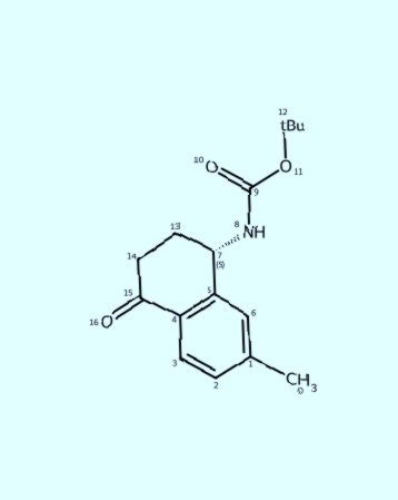 Cc1ccc2c(c1)[C@@H](NC(=O)OC(C)(C)C)CCC2=O